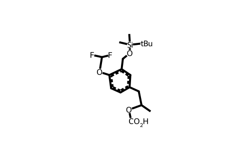 CC(Cc1ccc(OC(F)F)c(CO[Si](C)(C)C(C)(C)C)c1)OC(=O)O